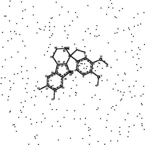 CCC1(c2ccc(OC)c(OC)c2)NCCc2c1[nH]c1cc(C)c(C)cc21